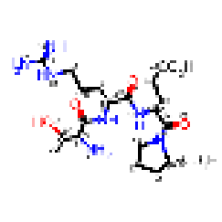 C[C@@H](O)[C@H](N)C(=O)N[C@@H](CCCNC(=N)N)C(=O)N[C@@H](CCC(=O)O)C(=O)N1CCC[C@H]1C(=O)O